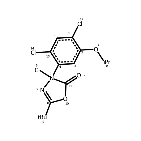 CC(C)Oc1cc([N+]2(Cl)N=C(C(C)(C)C)OC2=O)c(Cl)cc1Cl